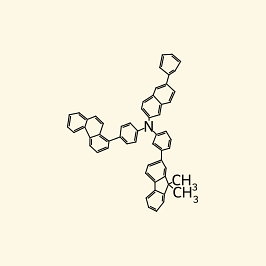 CC1(C)c2ccccc2-c2ccc(-c3cccc(N(c4ccc(-c5cccc6c5ccc5ccccc56)cc4)c4ccc5cc(-c6ccccc6)ccc5c4)c3)cc21